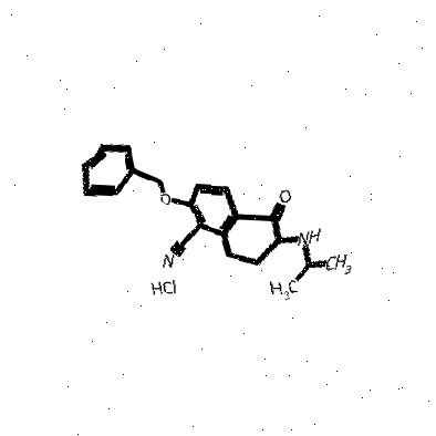 CC(C)NC1CCc2c(ccc(OCc3ccccc3)c2C#N)C1=O.Cl